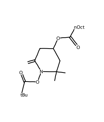 C=C1CC(OC(=O)CCCCCCCC)CC(C)(C)N1OC(=O)C(C)(C)C